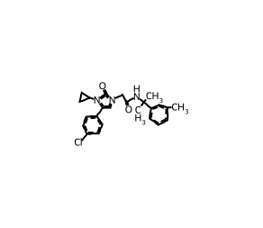 Cc1cccc(C(C)(C)NC(=O)Cn2cc(-c3ccc(Cl)cc3)n(C3CC3)c2=O)c1